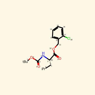 CC(C)C[C@H](NC(=O)OC(C)(C)C)C(=O)OCc1ccccc1Cl